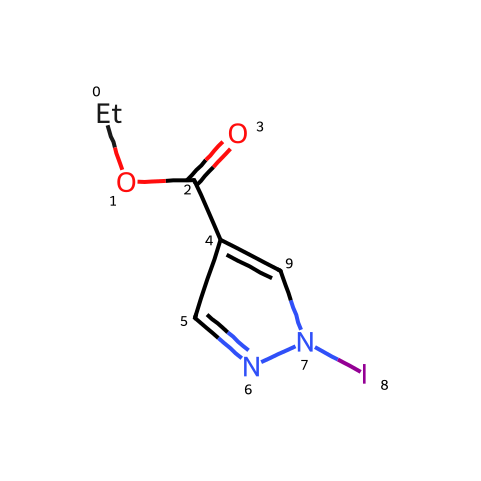 CCOC(=O)c1cnn(I)c1